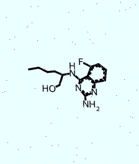 CCCCC(CO)Nc1nc(N)nc2cccc(F)c12